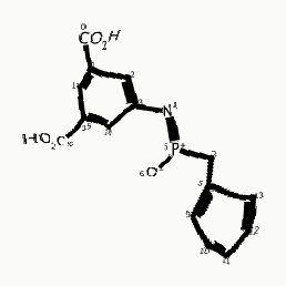 O=C(O)c1cc(/N=[P+](\[O-])Cc2ccccc2)cc(C(=O)O)c1